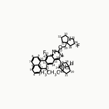 CCc1cccc2cccc(-c3c(F)cc4c(N5C[C@H]6CC[C@@](C)(C5)N6)nc(OC[C@@]56CCCN5C[C@H](F)C6)nc4c3F)c12